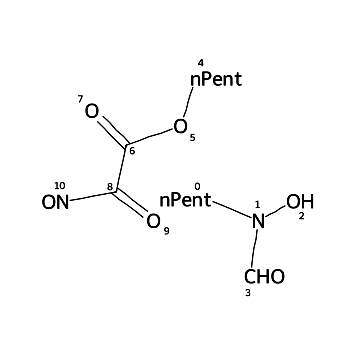 CCCCCN(O)C=O.CCCCCOC(=O)C(=O)N=O